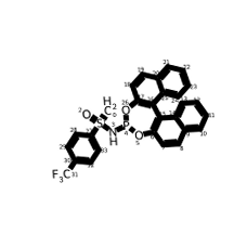 C=S(=O)(Np1oc2ccc3ccccc3c2c2c(ccc3ccccc32)o1)c1ccc(C(F)(F)F)cc1